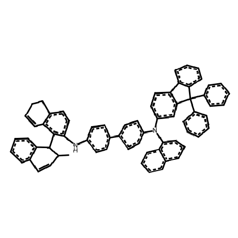 CC1C=Cc2ccccc2C1c1c(Nc2ccc(-c3ccc(N(c4ccc5c(c4)C(c4ccccc4)(c4ccccc4)c4ccccc4-5)c4cccc5ccccc45)cc3)cc2)ccc2c1C=CCC2